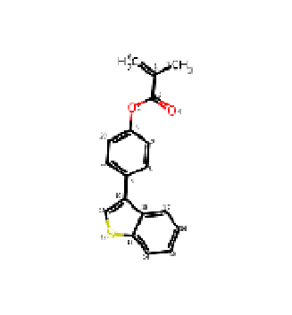 C=C(C)C(=O)Oc1ccc(-c2csc3ccccc23)cc1